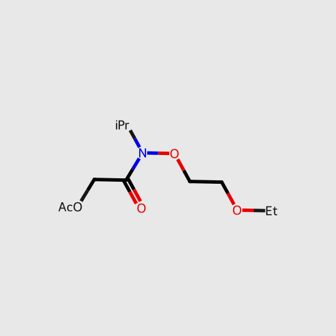 CCOCCON(C(=O)COC(C)=O)C(C)C